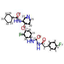 O=C(Cc1ccc(F)cc1)NC(=O)Nc1ccc(Oc2ccncc2NC(=O)C2CCCCC2)c(F)c1